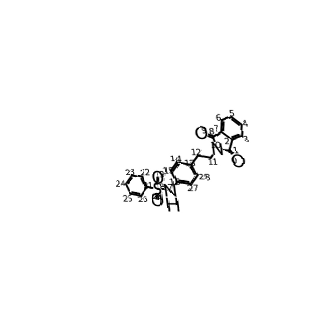 O=C1c2ccccc2C(=O)N1CCc1ccc(NS(=O)(=O)c2ccccc2)cc1